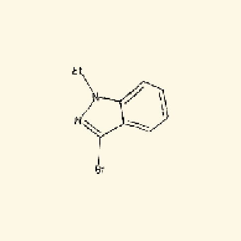 CCn1nc(Br)c2ccccc21